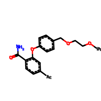 CC(=O)c1ccc(C(N)=O)c(Oc2ccc(COCCOC(C)C)cc2)c1